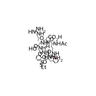 CCSSc1ccccc1OC(=O)C(Cc1ccccc1)NC(=O)CNC(=O)[C@H](CO)NC(=O)[C@H](CCCNC(=N)N)NC(=O)C(CC(=O)O)NC(=O)[C@H](CCCNC(=N)N)NC(C)=O